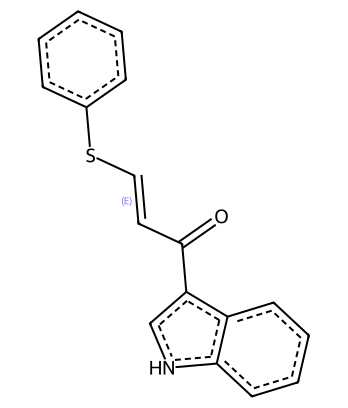 O=C(/C=C/Sc1ccccc1)c1c[nH]c2ccccc12